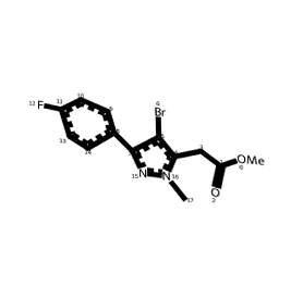 COC(=O)Cc1c(Br)c(-c2ccc(F)cc2)nn1C